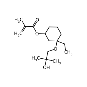 C=C(C)C(=O)OC1CCCC(CC)(OCC(C)(C)O)C1